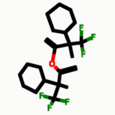 C=C(OC(=C)C(C)(C1CCCCC1)C(F)(F)F)C(C)(C1CCCCC1)C(F)(F)F